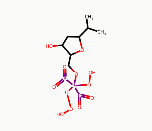 CC(C)C1CC(O)C(COP(OO)(OOO)(P(=O)=O)P(=O)=O)O1